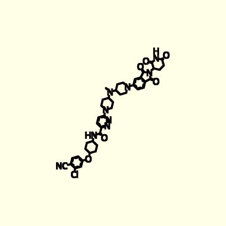 CN(C1CCN(c2ccc3c(c2)C(=O)N(C2CCC(=O)NC2=O)C3=O)CC1)C1CCN(c2ccc(C(=O)NC3CCC(Oc4ccc(C#N)c(Cl)c4)CC3)nn2)CC1